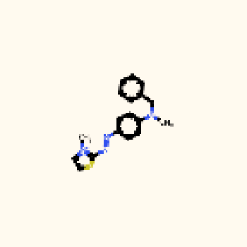 CN(Cc1ccccc1)c1ccc(/N=N/c2scc[n+]2C)cc1